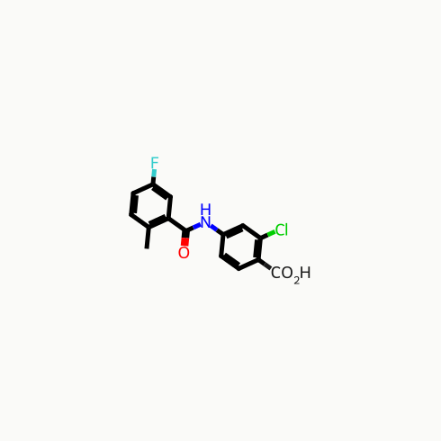 Cc1ccc(F)cc1C(=O)Nc1ccc(C(=O)O)c(Cl)c1